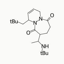 CC(NC(C)(C)C)C1CCC(=O)N2CC=CC(CC(C)(C)C)N2C1=O